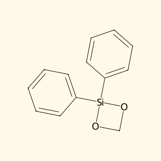 c1ccc([Si]2(c3ccccc3)OCO2)cc1